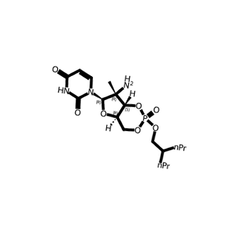 CCCC(CCC)COP1(=O)OC[C@H]2O[C@@H](n3ccc(=O)[nH]c3=O)[C@](C)(N)[C@@H]2O1